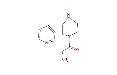 CCC(=O)N1CCNCC1.c1ccncc1